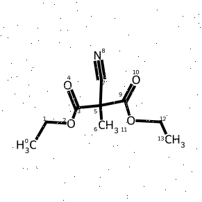 CCOC(=O)C(C)(C#N)C(=O)OCC